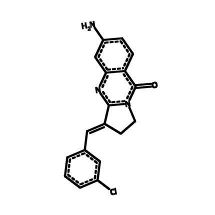 Nc1ccc2c(=O)n3c(nc2c1)C(=Cc1cccc(Cl)c1)CC3